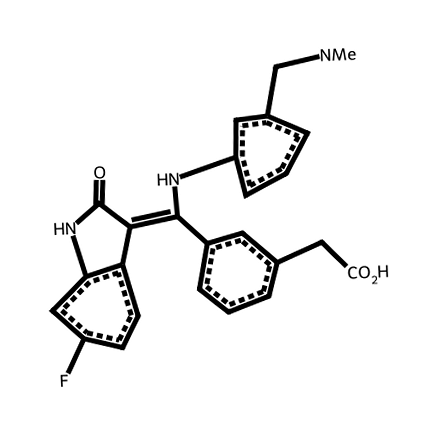 CNCc1cccc(N/C(=C2\C(=O)Nc3cc(F)ccc32)c2cccc(CC(=O)O)c2)c1